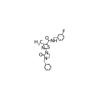 Cc1nc(N2CCN(Cc3ccccc3)C2=O)sc1C(=O)NCc1cccc(F)c1